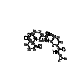 O=C(Nc1cc(C(=O)NC2CC2)ccc1Br)c1ccc(=O)n(-c2c(Cl)cccc2Cl)c1